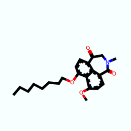 CCCCCCCCOc1ccc2c3c(ccc(OC)c13)C(=O)N(C)CC2=O